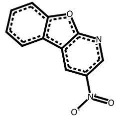 O=[N+]([O-])c1cnc2oc3ccccc3c2c1